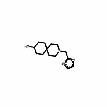 OC1CCC2(CC1)CCN(Cc1ncc[nH]1)CC2